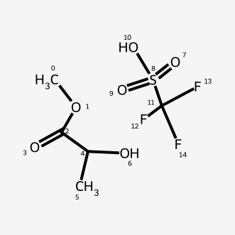 COC(=O)C(C)O.O=S(=O)(O)C(F)(F)F